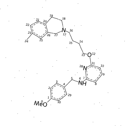 COc1ccc(CNc2cccc(OCCCCN3CCc4ccc(C)cc4C3)n2)cc1